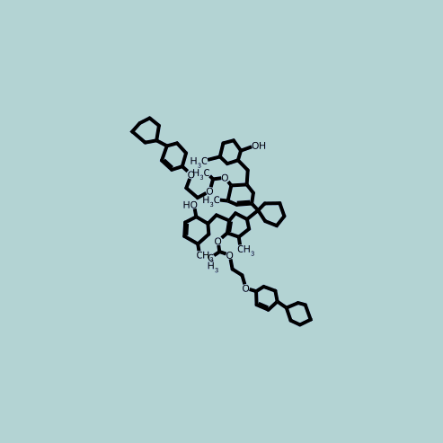 CC1C=CC(O)C(CC2=C(OC(C)OCCOC3C=CC(C4CCCCC4)CC3)C(C)CC(C3(C4=CC(C)C(OC(C)OCCOC5C=CC(C6CCCCC6)CC5)C(CC5CC(C)CCC5O)C4)CCCCC3)C2)C1